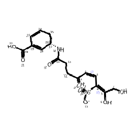 C=C(/C=C\C(=C(\O)CO)[N+](=O)[O-])CCC(=O)N[C@@H]1C=C(C(=O)O)C=CC1